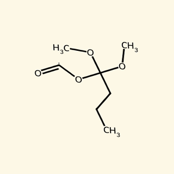 CCCC(OC)(OC)O[C]=O